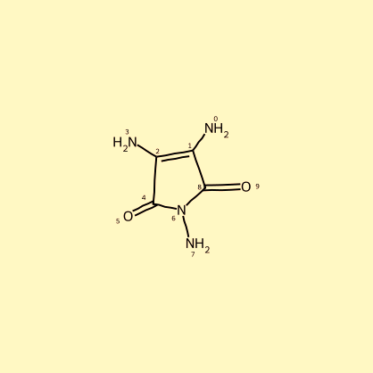 NC1=C(N)C(=O)N(N)C1=O